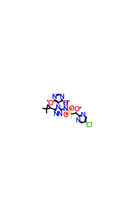 COc1ncnc(OC)c1-n1c(NS(=O)(=O)[C@@H](C)[C@H](OC)c2ncc(Cl)cn2)nnc1C1CC1(C)C